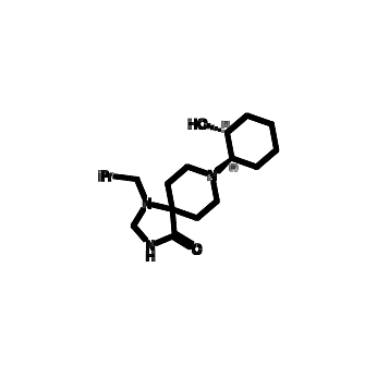 CC(C)CN1CNC(=O)C12CCN([C@@H]1CCCC[C@H]1O)CC2